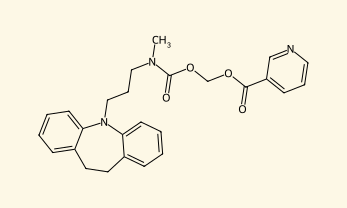 CN(CCCN1c2ccccc2CCc2ccccc21)C(=O)OCOC(=O)c1cccnc1